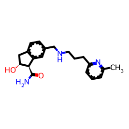 Cc1cccc(CCCNCc2ccc3c(c2)[C@@H](C(N)=O)[C@H](O)C3)n1